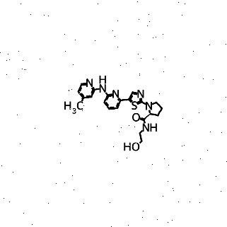 Cc1ccnc(Nc2cccc(-c3cnc(N4CCC[C@H]4C(=O)NCCO)s3)n2)c1